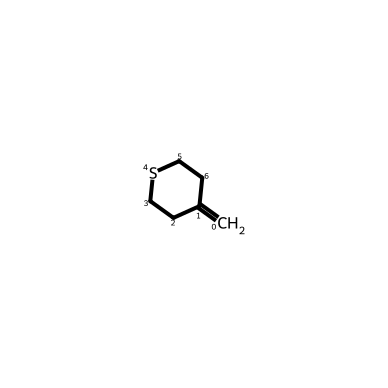 C=C1CCSCC1